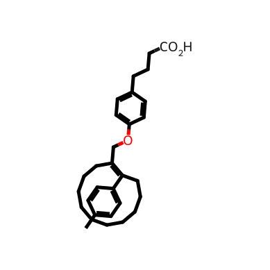 Cc1ccc(/C2=C(/COc3ccc(CCCC(=O)O)cc3)CCCCCCCCCC2)cc1